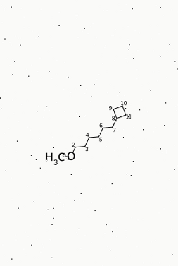 COCCCCCC[C]1CCC1